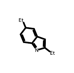 CCC1=CC2=CC(CC)C=CC2=N1